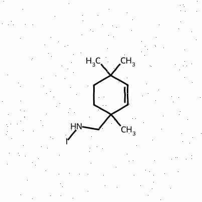 CC1(C)C=CC(C)(CNI)CC1